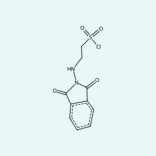 O=C1c2ccccc2C(=O)N1NCCS(=O)(=O)Cl